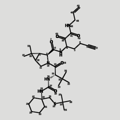 C#CCCC(NC(=O)[C@@H]1C2C(CN1C(=O)[C@@H](NC(=O)NC1(CSC(C)(C)C)CCCCC1)C(C)(C)C)C2(C)C)C(=O)C(=O)NCC=C